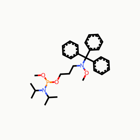 CON(CCCOP(OC)N(C(C)C)C(C)C)C(c1ccccc1)(c1ccccc1)c1ccccc1